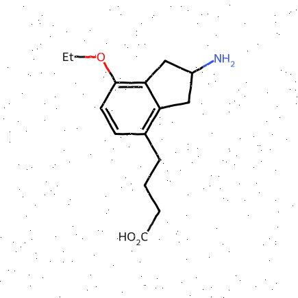 CCOc1ccc(CCCC(=O)O)c2c1CC(N)C2